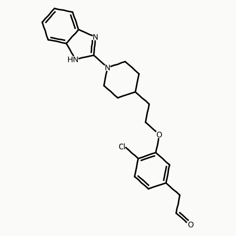 O=CCc1ccc(Cl)c(OCCC2CCN(c3nc4ccccc4[nH]3)CC2)c1